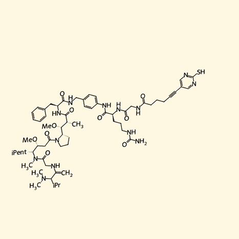 C=C(NCC(=O)N(C)C([C@@H](C)CCC)[C@@H](CC(=O)N1CCC[C@H]1[C@H](OC)[C@@H](C)C(=O)N[C@@H](Cc1ccccc1)C(=O)NCc1ccc(NC(=O)[C@H](CCCNC(N)=O)NC(=O)CNC(=O)CCCC#Cc2cnc(S)nc2)cc1)OC)C(C(C)C)N(C)C